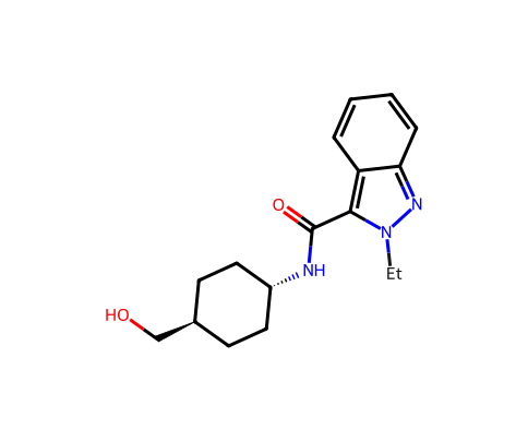 CCn1nc2ccccc2c1C(=O)N[C@H]1CC[C@H](CO)CC1